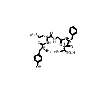 CCCCC(NC(=O)[C@H](Cc1ccccc1)NC(=O)CNC(=O)[C@@H](CCSC)NC(=O)[C@@H](N)Cc1ccc(O)cc1)S(=O)(=O)O